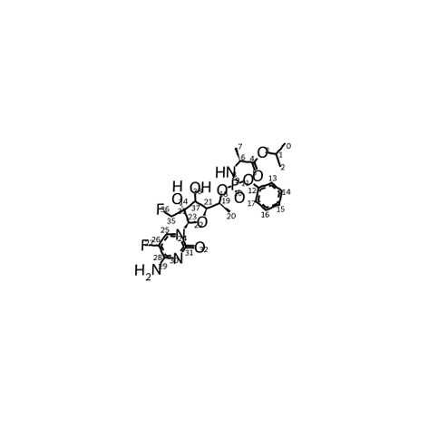 CC(C)OC(=O)[C@H](C)NP(=O)(Oc1ccccc1)O[C@@H](C)[C@H]1O[C@@H](n2cc(F)c(N)nc2=O)[C@@](O)(CF)C1O